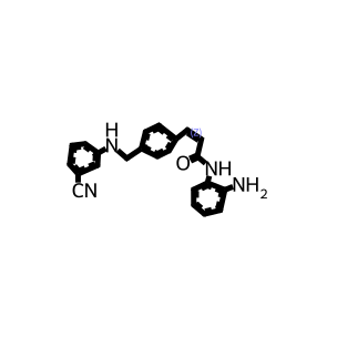 N#Cc1cccc(NCc2ccc(/C=C\C(=O)Nc3ccccc3N)cc2)c1